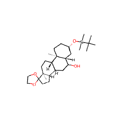 CC(C)(C)[Si](C)(C)O[C@H]1CC[C@@]2(C)[C@H](C1)C(O)C[C@@H]1[C@@H]2CC[C@@]2(C)[C@H]1CCC21OCCO1